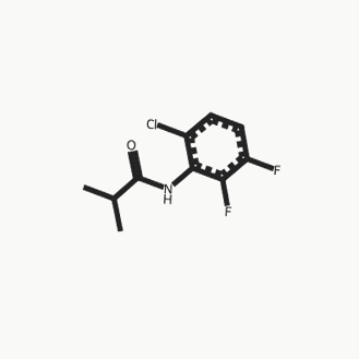 CC(C)C(=O)Nc1c(Cl)ccc(F)c1F